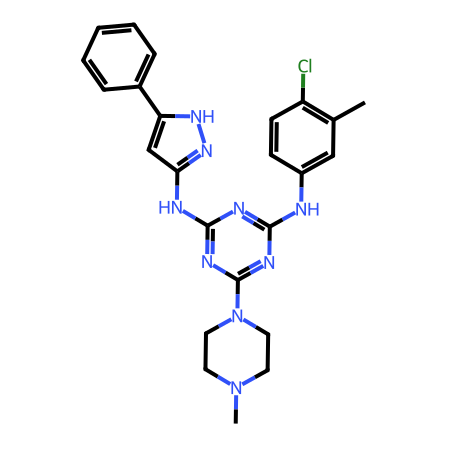 Cc1cc(Nc2nc(Nc3cc(-c4ccccc4)[nH]n3)nc(N3CCN(C)CC3)n2)ccc1Cl